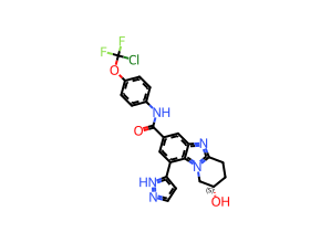 O=C(Nc1ccc(OC(F)(F)Cl)cc1)c1cc(-c2ccn[nH]2)c2c(c1)nc1n2C[C@@H](O)CC1